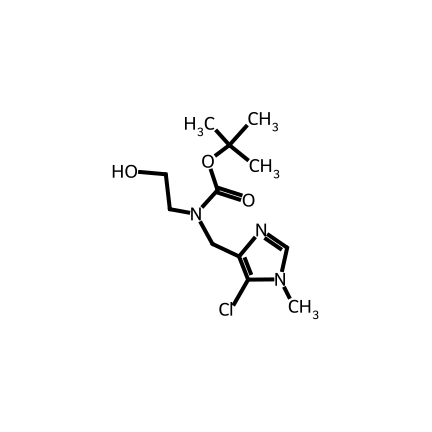 Cn1cnc(CN(CCO)C(=O)OC(C)(C)C)c1Cl